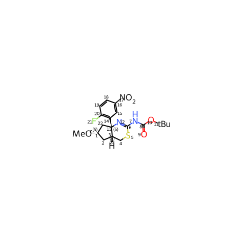 CO[C@H]1C[C@H]2CSC(NC(=O)OC(C)(C)C)=N[C@@]2(c2cc([N+](=O)[O-])ccc2F)C1